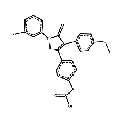 COc1ccc(C2=C(c3ccc(CS(=O)O)cc3)CN(c3cccc(F)c3)C2=O)cc1